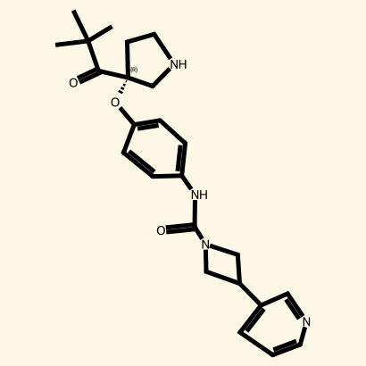 CC(C)(C)C(=O)[C@@]1(Oc2ccc(NC(=O)N3CC(c4cccnc4)C3)cc2)CCNC1